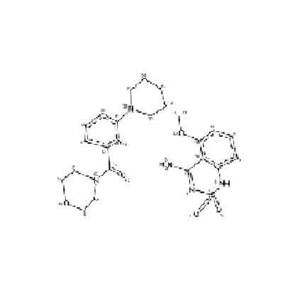 NC1=NS(=O)(=O)Nc2cccc(OC[C@H]3CCCN(c4cccc(C(=O)N5CCOCC5)n4)C3)c21